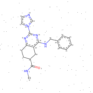 CCNC(=O)C1CCc2nc(-n3ccnc3)nc(NCc3ccccc3)c2C1